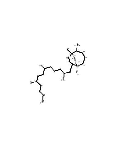 CCC(CCC[C@H](C)CC[C@H](C)CCCC(C)C)CC1CNC2(C)CC[C@H]1CCCC2[C@@H](C)CC